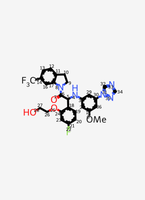 COc1cc(NC(C(=O)N2CCc3ccc(C(F)(F)F)cc32)c2ccc(F)cc2OCCO)cc(-n2cncn2)c1